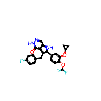 O=c1[nH]ncc2[nH]c(-c3ccc(OC(F)F)c(OC4CC4)c3)c(Cc3ccc(F)cc3)c12